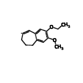 CCOc1cc2c(cc1OC)CCC[C]=C2